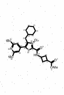 COC(=O)C1CC(NC(=O)c2sc(-c3cc(C(C)(C)C)nc(C(C)(C)C)c3)c(CC3CCCCC3)[n+]2[O-])C1